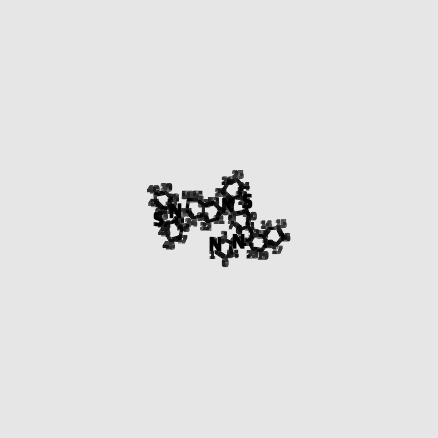 c1cncc(-n2c3cc4c(cc3c3c5ccccc5ccc32)Sc2ccccc2N4c2ccc3cc(N4c5ccccc5Sc5ccccc54)ccc3c2)c1